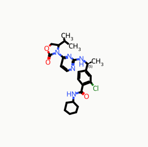 CC(C)C1COC(=O)N1c1ccnc(N[C@@H](C)c2ccc(C(=O)NC3CCCCC3)c(Cl)c2)n1